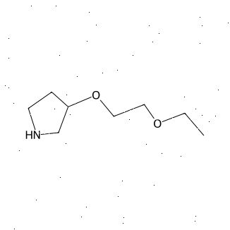 CCOCCOC1CCNC1